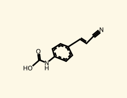 N#CC=Cc1ccc(NC(=O)O)cc1